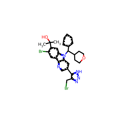 CC(C)(O)c1cc2c(cc1Br)c1ncc(-c3[nH]nnc3CBr)cc1n2C(c1ccccc1)C1CCOCC1